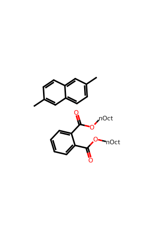 CCCCCCCCOC(=O)c1ccccc1C(=O)OCCCCCCCC.Cc1ccc2cc(C)ccc2c1